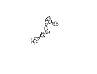 CCN(CC)c1cnc(NC2CCC(Oc3cc(N4CCOCC4)cc4nccnc34)CC2)nc1